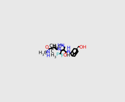 C/N=C\C(C(=O)N[C@H]1C2CC3CC1C[C@@](CO)(C3)C2)=C(/N/C=C/C(C)(C)C(=O)NC)C(F)F